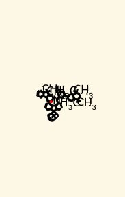 CC1(C)CCC(C)(C)c2cc(-c3cccc(N(c4ccc5c(c4)C(C)(C)c4ccccc4-5)c4cccc5c4-c4ccccc4C54C5CC6CC7CC4C75C6)c3)ccc21